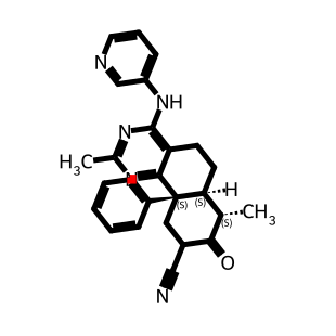 Cc1nc(Nc2cccnc2)c2c(n1)[C@@]1(c3ccccc3)CC(C#N)C(=O)[C@@H](C)[C@@H]1CC2